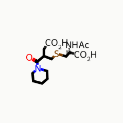 CC(=O)N[C@@H](CSCC(CC(=O)O)C(=O)N1CCCCC1)C(=O)O